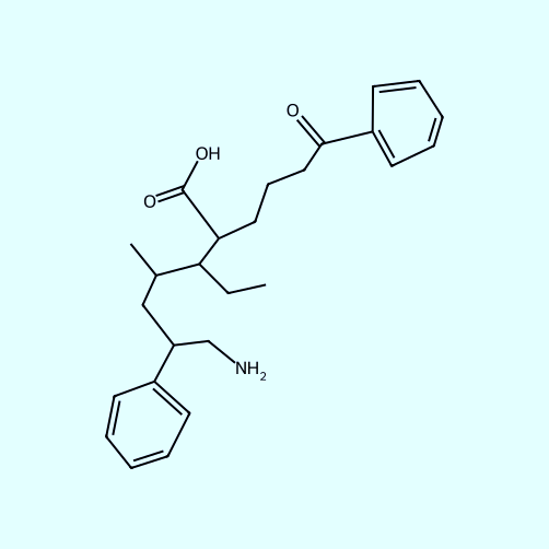 CCC(C(C)CC(CN)c1ccccc1)C(CCCC(=O)c1ccccc1)C(=O)O